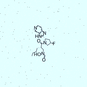 CCCC[C@@H](CN(O)C=O)C(=O)N1C[C@H](F)C[C@H]1c1nc2ccncc2[nH]1